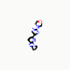 c1nc(N2CCOCC2)ncc1-c1ccc2nc3n(c2n1)CCC3